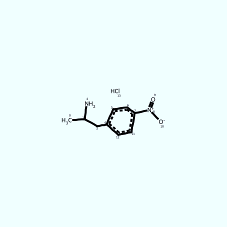 CC(N)Cc1ccc([N+](=O)[O-])cc1.Cl